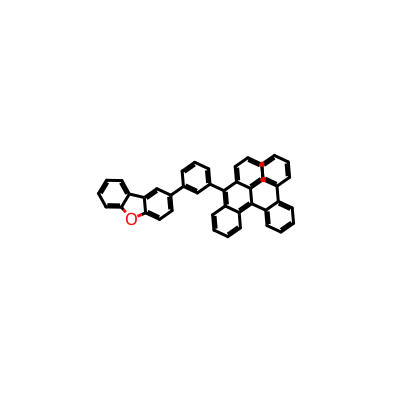 c1ccc(-c2ccccc2-c2c3ccccc3c(-c3cccc(-c4ccc5oc6ccccc6c5c4)c3)c3ccccc23)cc1